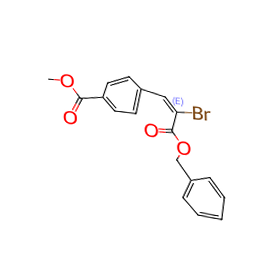 COC(=O)c1ccc(/C=C(/Br)C(=O)OCc2ccccc2)cc1